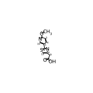 COc1ccc(-c2nc(CC(=O)O)cs2)cn1